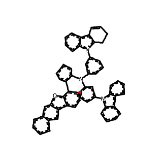 C1=Cc2c(n(-c3cccc(N(c4cccc(-n5c6ccccc6c6ccccc65)c4)c4ccccc4-c4cccc5c4oc4cc6ccccc6cc45)c3)c3ccccc23)CC1